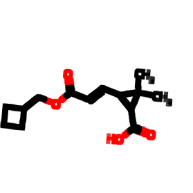 CC1(C)C(C=CC(=O)OCC2CCC2)C1C(=O)O